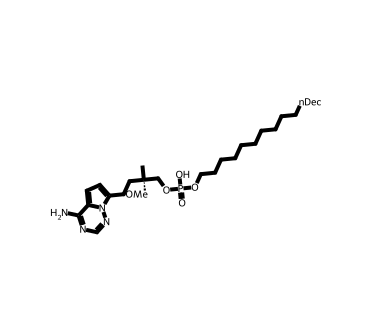 CCCCCCCCCCCCCCCCCCCCOP(=O)(O)OC[C@](C)(CCc1ccc2c(N)ncnn12)OC